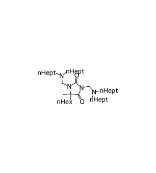 CCCCCCCN(CCCCCCC)CN1C(=O)N(CN(CCCCCCC)CCCCCCC)C(C)(CCCCCC)C1=O